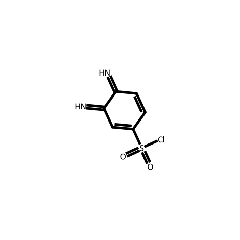 N=C1C=CC(S(=O)(=O)Cl)=CC1=N